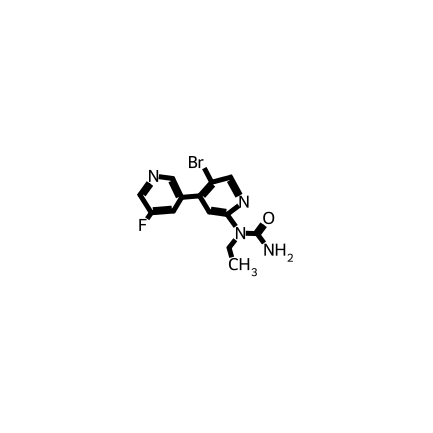 CCN(C(N)=O)c1cc(-c2cncc(F)c2)c(Br)cn1